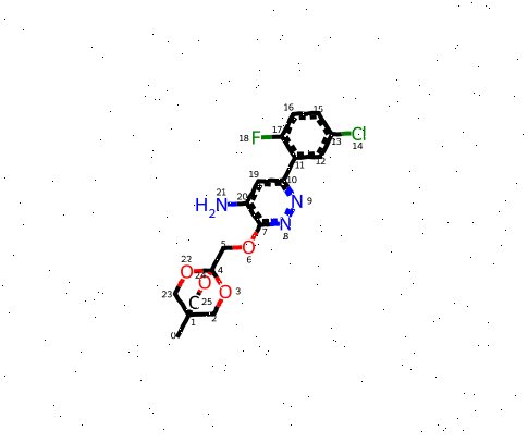 CC12COC(COc3nnc(-c4cc(Cl)ccc4F)cc3N)(OC1)OC2